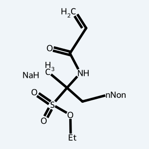 C=CC(=O)NC(C)(CCCCCCCCCC)S(=O)(=O)OCC.[NaH]